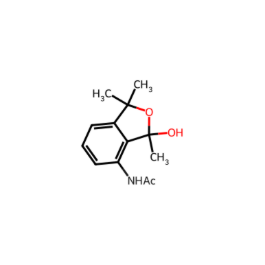 CC(=O)Nc1cccc2c1C(C)(O)OC2(C)C